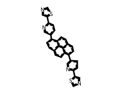 c1ncc(-c2ccc(-c3ccc4ccc5c(-c6ccc(-c7cncs7)nc6)ccc6ccc3c4c65)cn2)s1